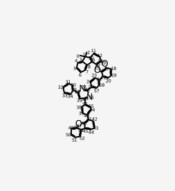 CC1(C)c2ccccc2-c2c1ccc1c2Oc2c(cccc2-c2ccc(-c3nc(-c4ccccc4)cc(-c4ccc(-c5cccc6c5oc5ccccc56)cc4)n3)cc2)O1